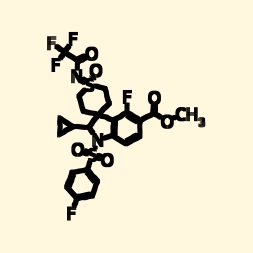 COC(=O)c1ccc2c(c1F)C1(CCS(=O)(=NC(=O)C(F)(F)F)CC1)C(C1CC1)N2S(=O)(=O)c1ccc(F)cc1